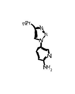 CCCc1cn(-c2ccc(N)nc2)nn1